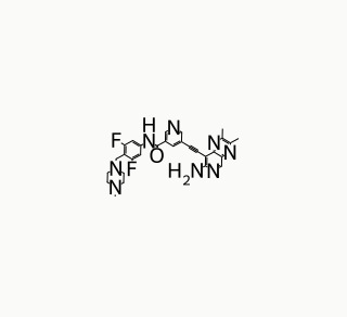 Cc1nc2cnc(N)c(C#Cc3cncc(C(=O)Nc4cc(F)c(CN5CCN(C)CC5)c(F)c4)c3)c2nc1C